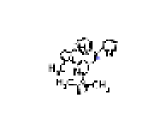 Cc1ccc(C)n1-c1cc(/C=C(\c2ccccc2)c2ccccn2)cc(-n2c(C)ccc2C)n1